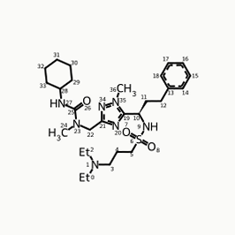 CCN(CC)CCCS(=O)(=O)N[C@H](CCc1ccccc1)c1nc(CN(C)C(=O)NC2CCCCC2)nn1C